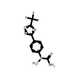 CN(C(N)=O)c1ccc(-c2noc(C(F)(F)F)n2)cc1